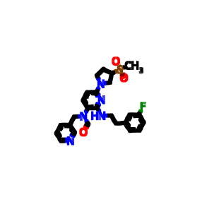 CS(=O)(=O)C1CCN(c2ccc(N(C=O)Cc3cccnc3)c(NCCc3cccc(F)c3)n2)C1